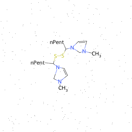 CCCCCC(SSC(CCCCC)N1C=CN(C)C1)N1C=CN(C)C1